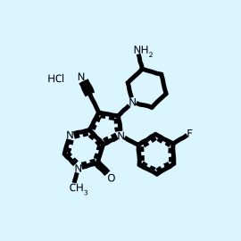 Cl.Cn1cnc2c(C#N)c(N3CCCC(N)C3)n(-c3cccc(F)c3)c2c1=O